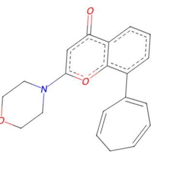 O=c1cc(N2CCOCC2)oc2c(C3=CC=CCC=C3)cccc12